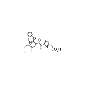 O=C(O)Cc1csc(NC(=O)c2cc3c(n(Cc4cccs4)c2=O)CCCCCC3)n1